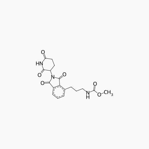 COC(=O)NCCCc1cccc2c1C(=O)N(C1CCC(=O)NC1=O)C2=O